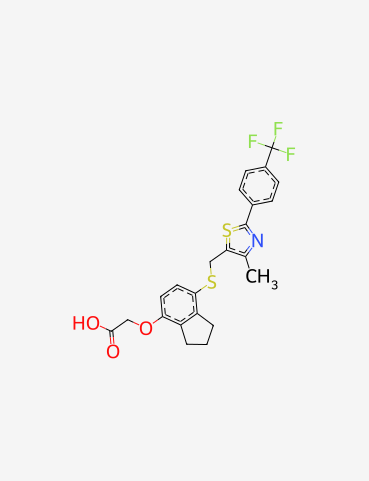 Cc1nc(-c2ccc(C(F)(F)F)cc2)sc1CSc1ccc(OCC(=O)O)c2c1CCC2